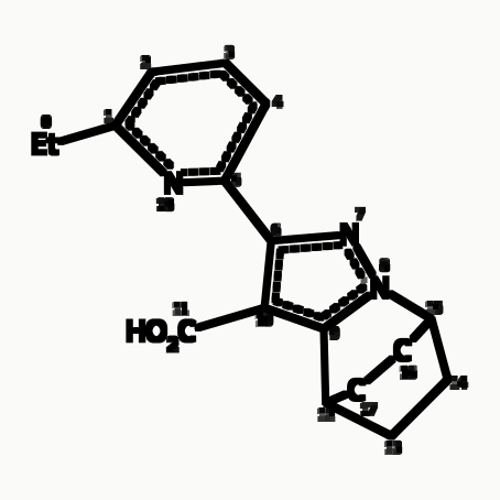 CCc1cccc(-c2nn3c(c2C(=O)O)C2CCC3CC2)n1